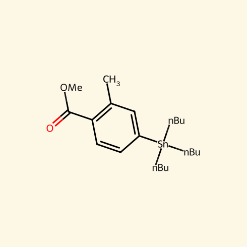 CCC[CH2][Sn]([CH2]CCC)([CH2]CCC)[c]1ccc(C(=O)OC)c(C)c1